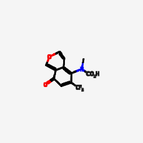 CN(C(=O)O)c1c2ccocc-2c(=O)cc1C(F)(F)F